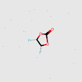 O=C1O[C@@H](F)[C@@H](F)O1